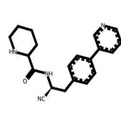 N#C[C@H](Cc1ccc(-c2cccnc2)cc1)NC(=O)C1CCCCN1